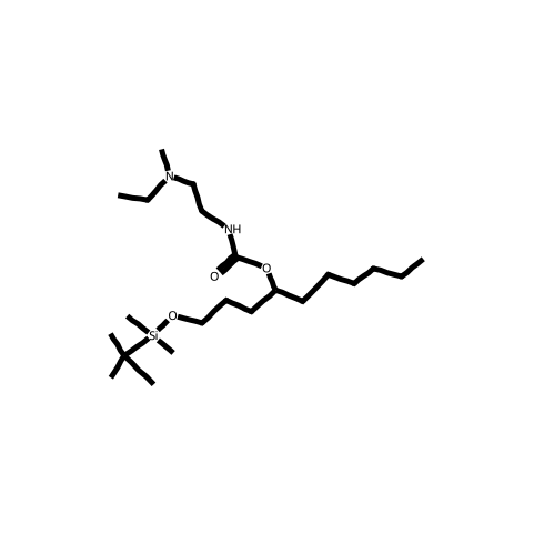 CCCCCCC(CCCO[Si](C)(C)C(C)(C)C)OC(=O)NCCN(C)CC